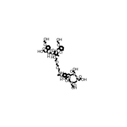 C=C(NCCOCCOCCOc1c(C)cn(Cc2c(Cl)cccc2OCCO)c(=O)c1NC(=O)N[C@@H](CC(=O)O)c1cccc(OCCO)c1)Nc1ccc(CC2CN(CC(=O)O)CCN(CC(=O)O)CCN(CC(=O)O)CCN2CC(=O)O)cc1